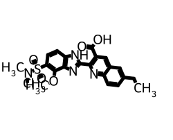 CCc1ccc2nc(-c3nc4c(OC)c(S(=O)(=O)N(C)C)ccc4[nH]3)c(C(=O)O)cc2c1